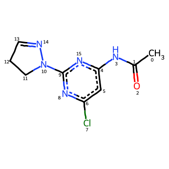 CC(=O)Nc1cc(Cl)nc(N2CCC=N2)n1